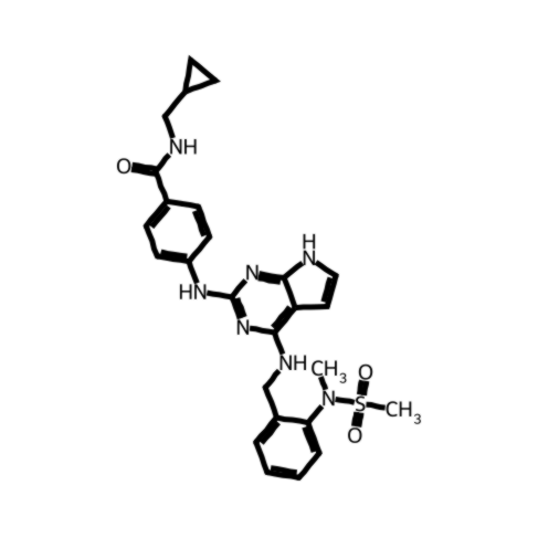 CN(c1ccccc1CNc1nc(Nc2ccc(C(=O)NCC3CC3)cc2)nc2[nH]ccc12)S(C)(=O)=O